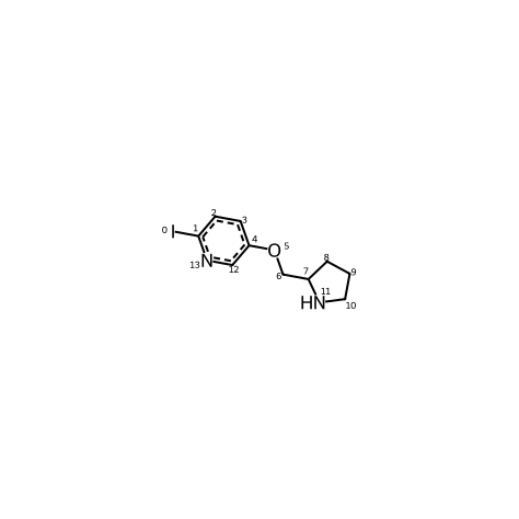 Ic1ccc(OCC2CCCN2)cn1